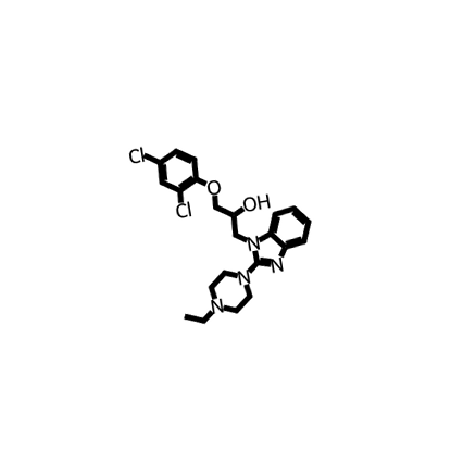 CCN1CCN(c2nc3ccccc3n2CC(O)COc2ccc(Cl)cc2Cl)CC1